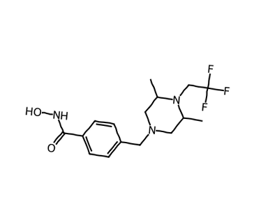 CC1CN(Cc2ccc(C(=O)NO)cc2)CC(C)N1CC(F)(F)F